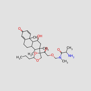 CCCC1OCC(C(=O)COCN(C)C(=O)C(C)N)(C2(C)CC(O)C3C(CCC4=CC(=O)C=CC43C)C2C)O1